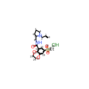 C=CCN1CCCC1CNC(=O)c1cc(S(=O)(=O)CC)cc2c1OCCO2.Cl